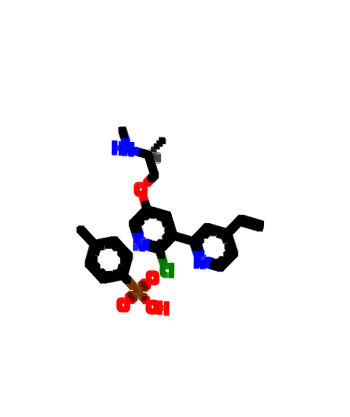 C=Cc1ccnc(-c2cc(OC[C@@H](C)NC)cnc2Cl)c1.Cc1ccc(S(=O)(=O)O)cc1